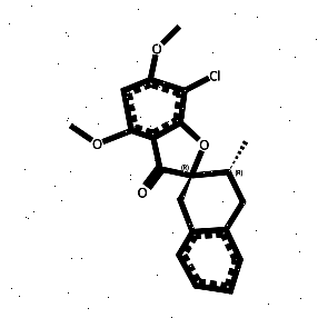 COc1cc(OC)c2c(c1Cl)O[C@@]1(Cc3ccccc3C[C@H]1C)C2=O